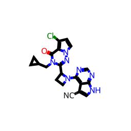 N#Cc1c[nH]c2ncnc(N3CCC3c3nn4ccc(Cl)c4c(=O)n3CC3CC3)c12